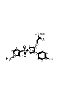 COC(=O)CO[C@H]1CN(S(=O)(=O)c2cn(C)cn2)C[C@@H]1c1ccc(F)cc1